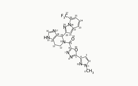 Cn1ccc(-c2nnc(C(=O)N3CCc4[nH]cnc4C3c3cc4cccc(C(F)(F)F)n4n3)o2)n1